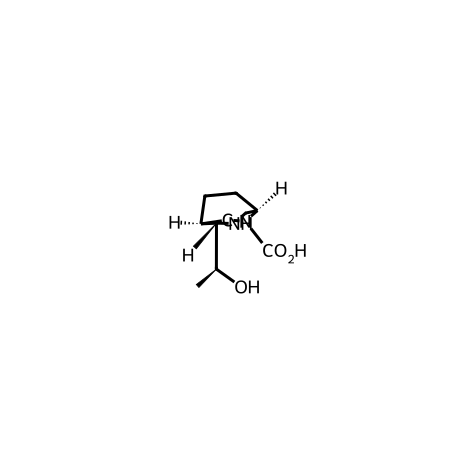 C[C@H](O)[C@H]1NC[C@H]2CC[C@@H]1CN2C(=O)O